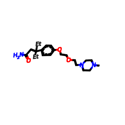 CCC(CC)(CC(N)=O)c1ccc(OCCOCCN2CCN(C)CC2)cc1